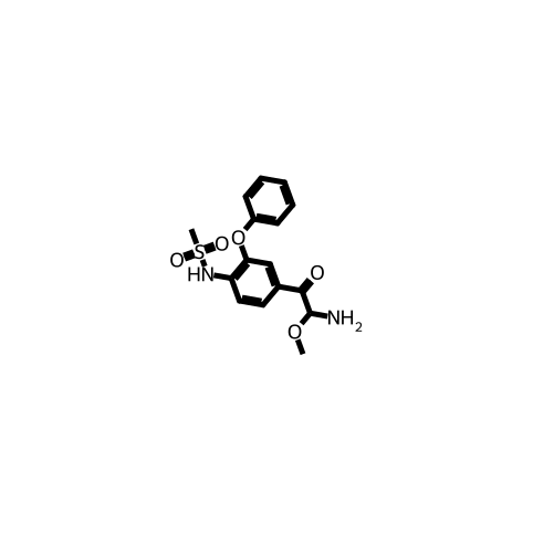 COC(N)C(=O)c1ccc(NS(C)(=O)=O)c(Oc2ccccc2)c1